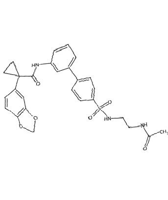 CC(=O)NCCNS(=O)(=O)c1ccc(-c2cccc(NC(=O)C3(c4ccc5c(c4)OCO5)CC3)c2)cc1